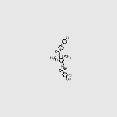 COc1cc(/C=N/NC(=O)c2ccc(O)c(Cl)c2)cc(OC)c1OCC(=O)N1CCN(c2ccc(Cl)cc2)CC1